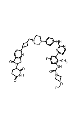 Cc1c(NC(=O)N2CC(OC(C)C)C2)cc(F)cc1-c1ccnc(Nc2ccc(N3CCN(CC4CN(c5ccc6c(n5)CN(C5CCC(=O)NC5=O)C6=O)C4)CC3)cc2)n1